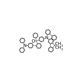 CC1(C)c2ccccc2-c2cc(N(c3ccc(C4(c5ccccc5)Oc5cc(N(c6ccccc6)c6ccccc6)ccc5-c5ccccc54)cc3)c3ccccc3-c3ccccc3)ccc21